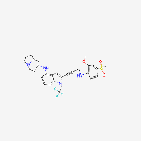 COc1cc(S(C)(=O)=O)ccc1NCC#Cc1cc2c(NC3CCN4CCCC4C3)cccc2n1CC(F)(F)F